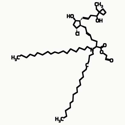 CCCCCCCCCCCCCCCCCCN(CCCCCCCCCCCCCCCCCC)C(CCC=CC[C@@H]1[C@@H](C=CC[C@H](O)C2(CC)CCC2)[C@H](O)C[C@H]1Cl)C(=O)OCC=O